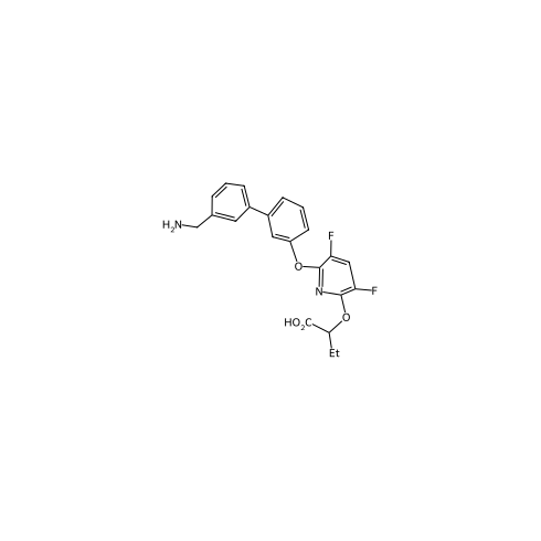 CCC(Oc1nc(Oc2cccc(-c3cccc(CN)c3)c2)c(F)cc1F)C(=O)O